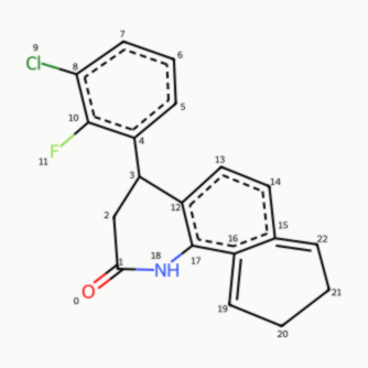 O=C1CC(c2cccc(Cl)c2F)c2ccc3c(c2N1)=CCCC=3